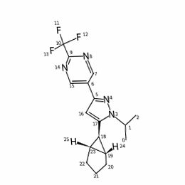 CC(C)n1nc(-c2cnc(C(F)(F)F)nc2)cc1[C@H]1[C@@H]2CCC[C@@H]21